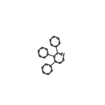 c1ccc(-c2ccnc(-c3ccccc3)c2-c2ccccc2)cc1